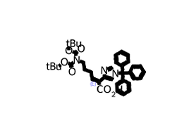 CC(C)(C)OC(=O)N(CCC/C=C(/C(=O)O)c1cn(C(c2ccccc2)(c2ccccc2)c2ccccc2)cn1)C(=O)OC(C)(C)C